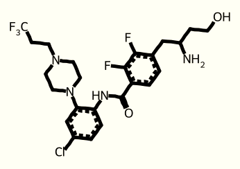 NC(CCO)Cc1ccc(C(=O)Nc2ccc(Cl)cc2N2CCN(CCC(F)(F)F)CC2)c(F)c1F